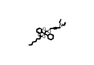 CCCCCCC(=O)OC(C(=O)OCC#CCN(CC)CC)(c1ccccc1)C1CCCCC1